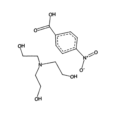 O=C(O)c1ccc([N+](=O)[O-])cc1.OCCN(CCO)CCO